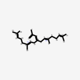 C=C(C)C=C(C/C=C(\C)CCC=C(C)C)C/C=C(\C)CCC=C(C)C